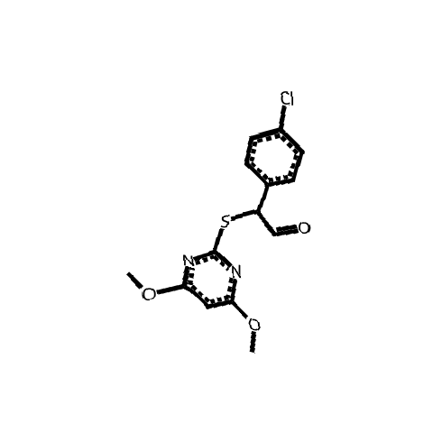 COc1cc(OC)nc(SC(C=O)c2ccc(Cl)cc2)n1